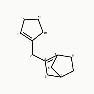 C1=C(CC2=C3CCC(C3)C2)CCC1